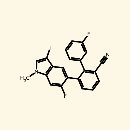 Cn1cc(I)c2cc(-c3cccc(C#N)c3-c3cccc(F)c3)c(F)cc21